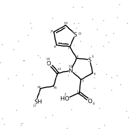 O=C(O)C1CSC(c2cccs2)N1C(=O)CCS